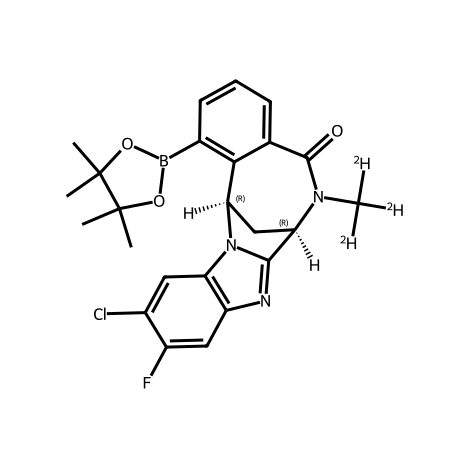 [2H]C([2H])([2H])N1C(=O)c2cccc(B3OC(C)(C)C(C)(C)O3)c2[C@H]2C[C@@H]1c1nc3cc(F)c(Cl)cc3n12